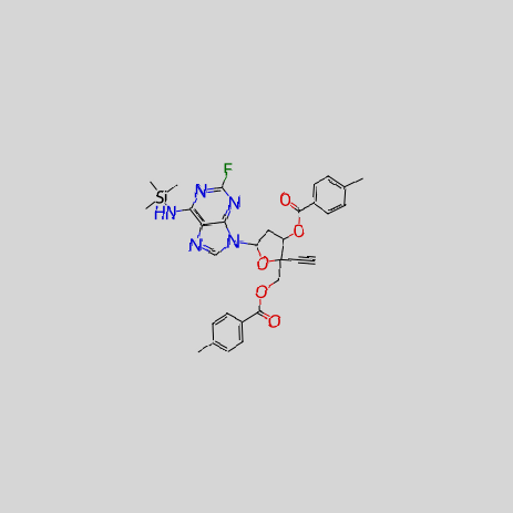 C#CC1(COC(=O)c2ccc(C)cc2)OC(n2cnc3c(N[Si](C)(C)C)nc(F)nc32)CC1OC(=O)c1ccc(C)cc1